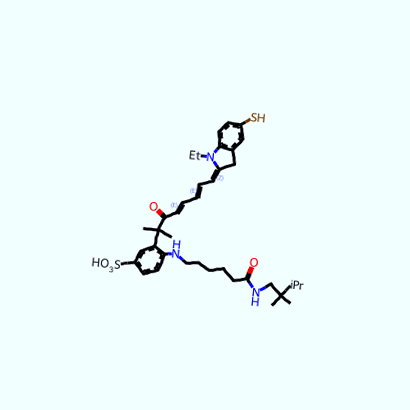 CCN1\C(=C/C=C/C=C/C(=O)C(C)(C)c2cc(S(=O)(=O)O)ccc2NCCCCCC(=O)NCC(C)(C)C(C)C)Cc2cc(S)ccc21